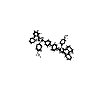 Cc1ccc(-n2c(-c3ccc(-c4ccc(-c5nc6c7ccccc7c7ccccc7c6n5-c5ccc(C)cc5)cc4)cc3)nc3c4ccccc4c4ccccc4c32)cc1